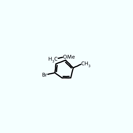 COC.Cc1ccc(Br)cc1